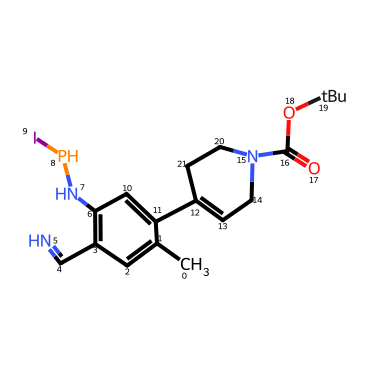 Cc1cc(C=N)c(NPI)cc1C1=CCN(C(=O)OC(C)(C)C)CC1